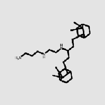 CC1(C)C2CCC(CC2)C1CCC(CCC1C2CCC(CC2)C1(C)C)NCCNCCCN